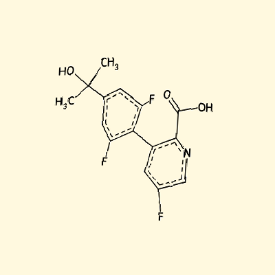 CC(C)(O)c1cc(F)c(-c2cc(F)cnc2C(=O)O)c(F)c1